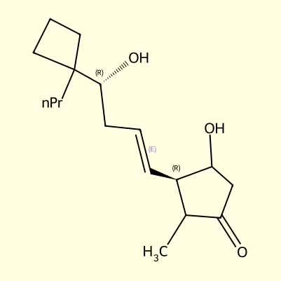 CCCC1([C@H](O)C/C=C/[C@H]2C(O)CC(=O)C2C)CCC1